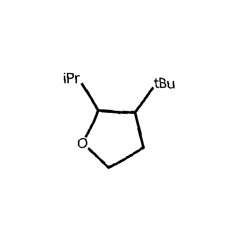 CC(C)C1OCCC1C(C)(C)C